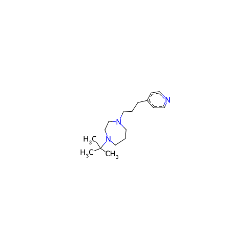 CC(C)(C)N1CCCN(CCCc2ccncc2)CC1